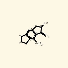 O=C1c2c(cc3c(c2[N+](=O)[O-])CCC3)CC1F